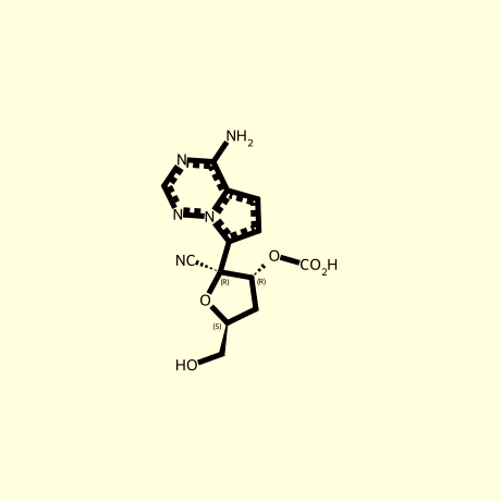 N#C[C@@]1(c2ccc3c(N)ncnn23)O[C@H](CO)C[C@H]1OC(=O)O